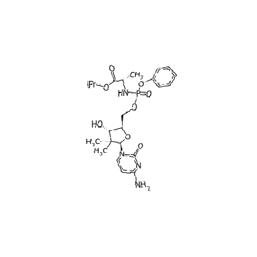 CC(C)OC(=O)[C@H](C)NP(=O)(OC[C@H]1O[C@@H](n2ccc(N)nc2=O)C(C)(C)[C@@H]1O)Oc1ccccc1